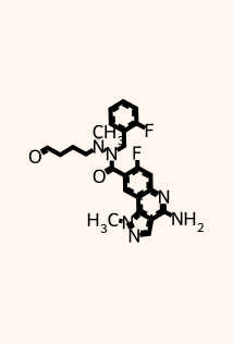 CN(CCCC=O)N(Cc1ccccc1F)C(=O)c1cc2c(cc1F)nc(N)c1cnn(C)c12